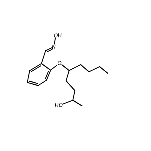 CCCCC(CCC(C)O)Oc1ccccc1C=NO